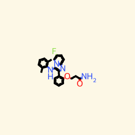 Cc1cccc(C)c1Nc1c(-c2ccccc2OCCC(N)=O)nc2ccc(F)cn12